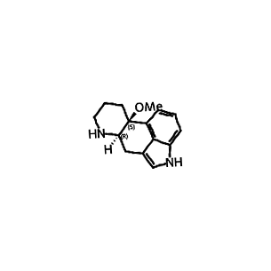 CO[C@]12CCCN[C@@H]1Cc1c[nH]c3cccc2c13